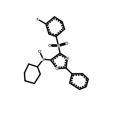 O=S(=O)(c1cccc(F)c1)c1nc(-c2ccccc2)oc1[S+]([O-])C1CCCCC1